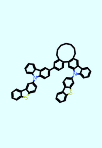 c1ccc2c(c1)sc1cc(-n3c4ccccc4c4cc5c(cc43)-c3ccc(-c4ccc6c(c4)c4ccccc4n6-c4ccc6sc7ccccc7c6c4)cc3CCCCCCC5)ccc12